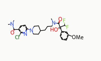 COc1cccc([C@@](O)(C(=O)N(C)CCCC2CCN(c3ccc(C(=O)N(C)C)c(Cl)n3)CC2)C(F)F)c1